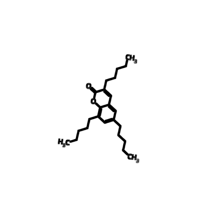 CCCCCc1cc(CCCCC)c2oc(=O)c(CCCCC)cc2c1